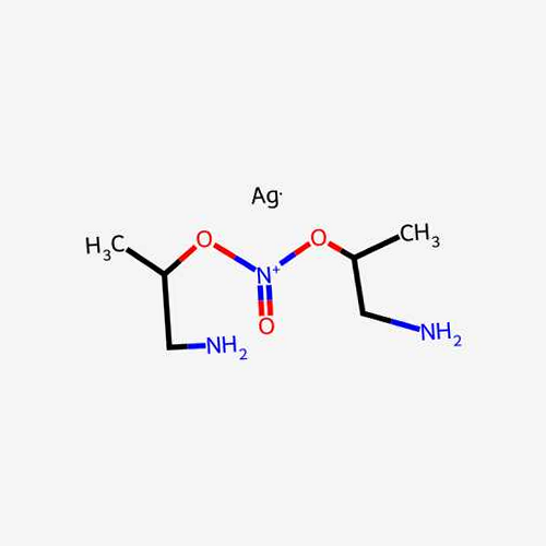 CC(CN)O[N+](=O)OC(C)CN.[Ag]